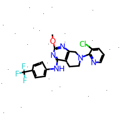 COc1nc2c(c(Nc3ccc(C(F)(F)F)cc3)n1)CCN(c1ncccc1Cl)C2